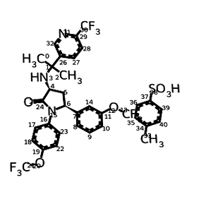 CC(C)(N[C@H]1C[C@@H](c2cccc(OC(F)(F)F)c2)N(c2ccc(OC(F)(F)F)cc2)C1=O)c1ccc(C(F)(F)F)nc1.Cc1ccc(S(=O)(=O)O)cc1